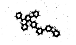 c1ccc(-c2nc3ccccc3c3c(-c4ccc(-c5cccc(-c6ccc7oc8ccccc8c7c6)c5)cc4)c4c(cc23)oc2ccccc24)cc1